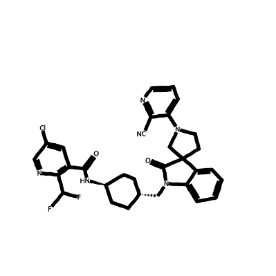 N#Cc1ncccc1N1CCC2(C1)C(=O)N(C[C@H]1CC[C@H](NC(=O)c3cc(Cl)cnc3C(F)F)CC1)c1ccccc12